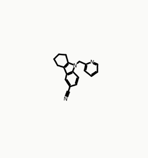 N#Cc1ccc2c(c1)c1c(n2Cc2ccccn2)CCCC1